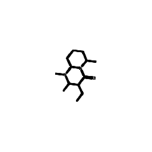 CCC1C(=O)N2C(C)CCCC2N(C)C1C